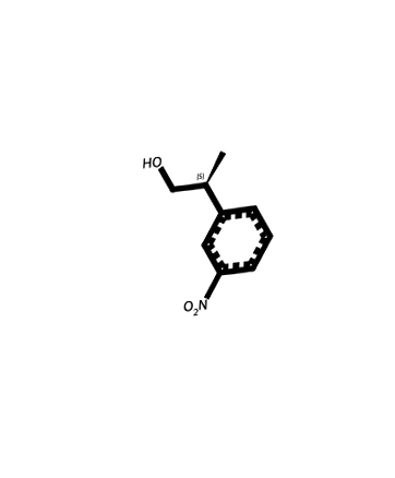 C[C@H](CO)c1cccc([N+](=O)[O-])c1